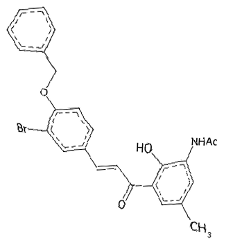 CC(=O)Nc1cc(C)cc(C(=O)C=Cc2ccc(OCc3ccccc3)c(Br)c2)c1O